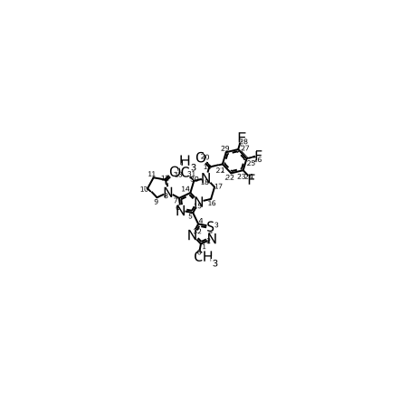 Cc1nsc(-c2nc(N3CCCC3=O)c3n2CCN(C(=O)c2cc(F)c(F)c(F)c2)[C@@H]3C)n1